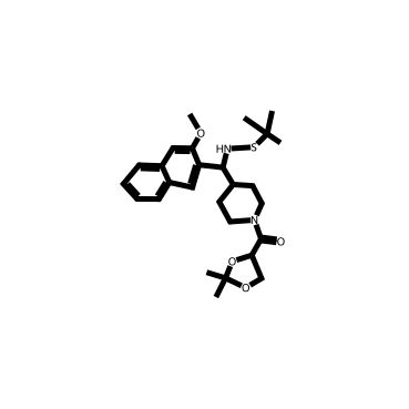 COc1cc2ccccc2cc1C(NSC(C)(C)C)C1CCN(C(=O)C2COC(C)(C)O2)CC1